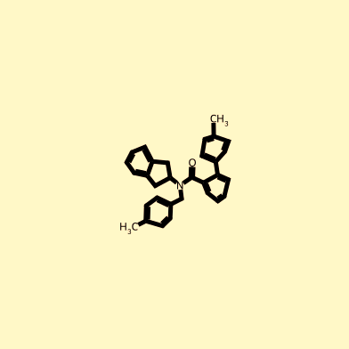 Cc1ccc(CN(C(=O)c2ccccc2-c2ccc(C)cc2)C2Cc3ccccc3C2)cc1